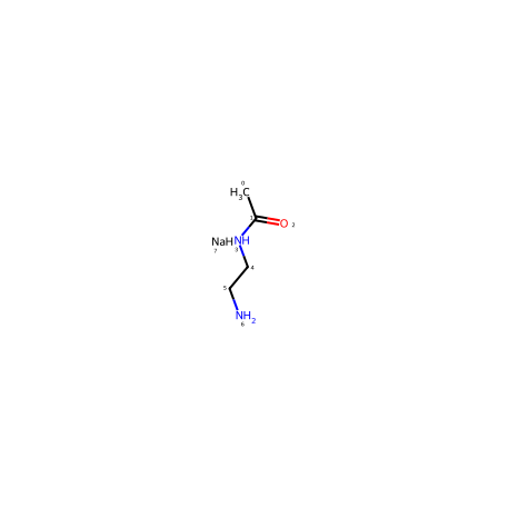 CC(=O)NCCN.[NaH]